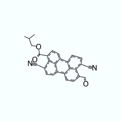 CC(C)COC(=O)c1ccc2c3ccc(C#N)c4c(C=O)ccc(c5ccc(C#N)c1c52)c43